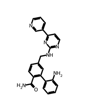 NC(=O)c1ccc(CNc2nccc(-c3cccnc3)n2)cc1-c1ccccc1N